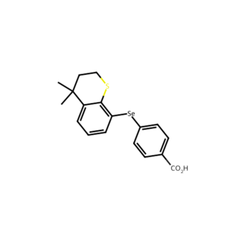 CC1(C)CCSc2c([Se]c3ccc(C(=O)O)cc3)cccc21